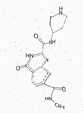 O=C(NO)c1ccc2c(=O)[nH]c(C(=O)NC3CCNCC3)nc2c1